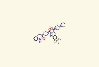 CCc1cc(C[C@@H](NC(=O)N2CCC(N3CCc4ccccc4NC3=O)CC2)C(=O)N2CCC(N3CCCCC3)CC2)ccc1C(F)(F)F